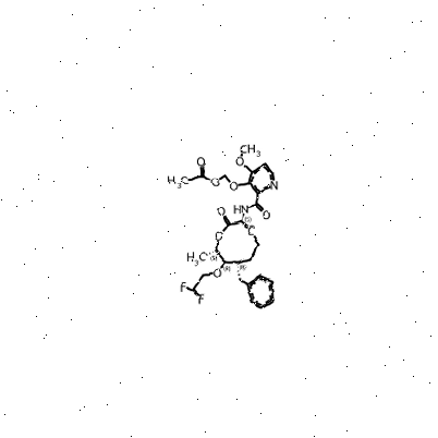 COc1ccnc(C(=O)N[C@H]2CCC[C@H](Cc3ccccc3)[C@@H](OCC(F)F)[C@H](C)OC2=O)c1OCOC(C)=O